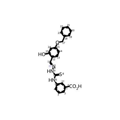 O=C(O)c1cccc(NC(=S)N/N=C/c2ccc(OCc3ccccc3)cc2O)c1